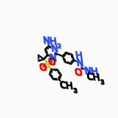 CNC(=O)Nc1ccc(-c2nc(N)cc(C3(S(=O)(=O)c4ccc(C)cc4)CC3)n2)cc1